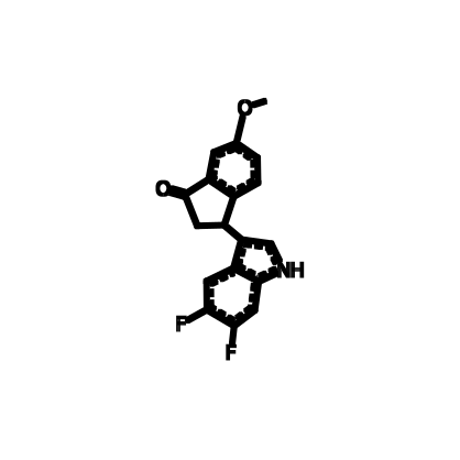 COc1ccc2c(c1)C(=O)CC2c1c[nH]c2cc(F)c(F)cc12